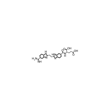 N=C(N)c1ccc2[nH]c(CCc3nc4ccc(C(=O)NC(CCC(=O)O)C(=O)O)cc4[nH]3)nc2c1